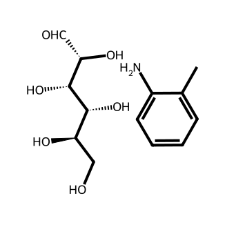 Cc1ccccc1N.O=C[C@H](O)[C@@H](O)[C@H](O)[C@H](O)CO